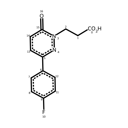 O=C(O)CCn1nc(-c2ccc(F)cc2)ccc1=O